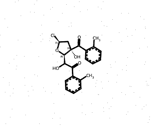 Cc1ccccc1C(=O)C(O)[C@H]1O[C@@H](Cl)C[C@@]1(O)C(=O)c1ccccc1C